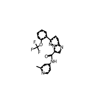 Cc1cc(NC(=O)c2cnc3ccc(-c4ccccc4OC(F)(F)F)nn23)ccn1